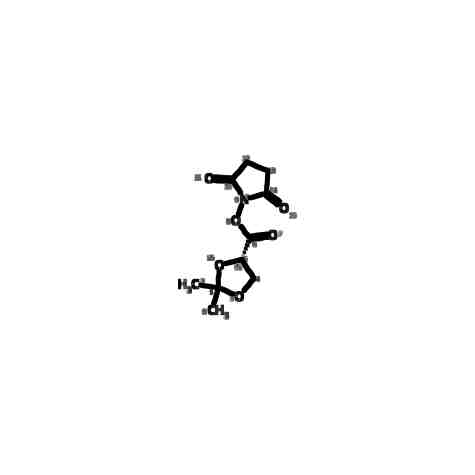 CC1(C)OC[C@@H](C(=O)ON2C(=O)CCC2=O)O1